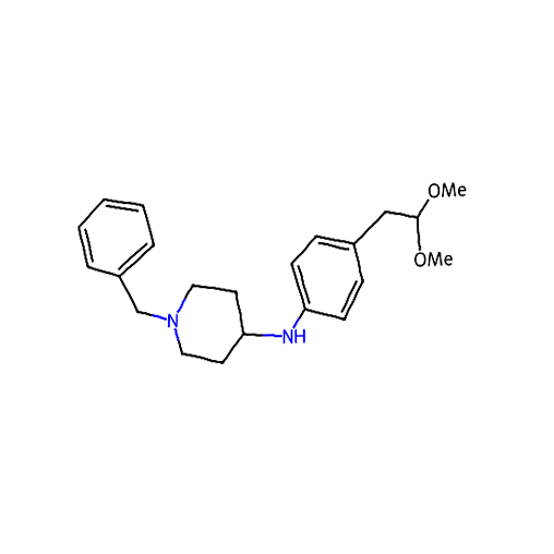 COC(Cc1ccc(NC2CCN(Cc3ccccc3)CC2)cc1)OC